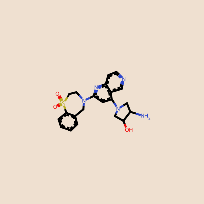 NC1CN(c2cc(N3CCS(=O)(=O)c4ccccc4C3)nc3ccncc23)CC1O